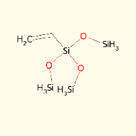 C=C[Si](O[SiH3])(O[SiH3])O[SiH3]